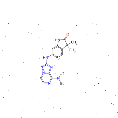 CCN(CC)c1nccn2nc(Nc3ccc4c(c3)NC(=O)C4(C)C)nc12